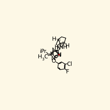 Cc1cc(N2C[C@H]3CC[C@@H](C2)[C@@H]3Nc2nc(Oc3ccc(F)c(Cl)c3)n(CC(C)C)n2)ncn1